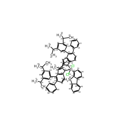 CCC1=Cc2c(ccc(-c3ccccc3)c2-c2cc(C(C)C)cc(C(C)C)c2)[CH]1[Zr]([Cl])([Cl])([c]1cccc2c1[SiH2]c1ccccc1-2)[CH]1C(CC)=Cc2c1ccc(-c1ccccc1)c2-c1cc(C(C)C)cc(C(C)C)c1